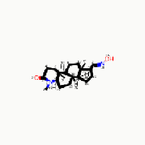 CN1C(=O)CC[C@]2(C)[C@H]3CC[C@]4(C)C(C=NO)CC[C@H]4[C@@H]3CC[C@@H]12